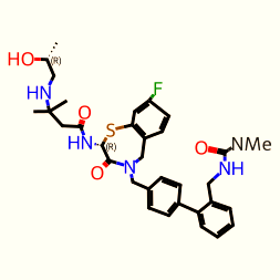 CNC(=O)NCc1ccccc1-c1ccc(CN2Cc3ccc(F)cc3S[C@@H](NC(=O)CC(C)(C)NC[C@@H](C)O)C2=O)cc1